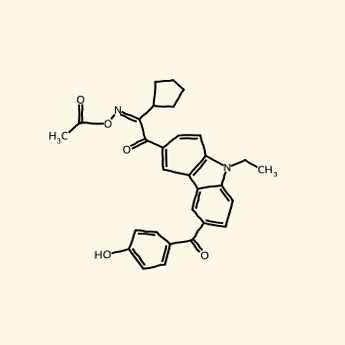 CCn1c2ccc(C(=O)/C(=N\OC(C)=O)C3CCCC3)cc2c2cc(C(=O)c3ccc(O)cc3)ccc21